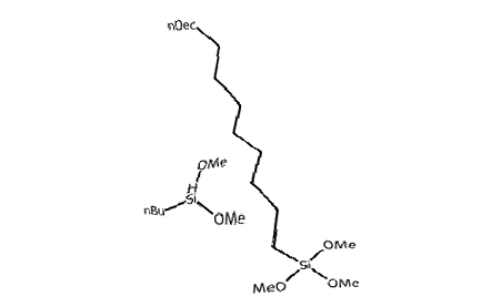 CCCCCCCCCCCCCCCCCC[Si](OC)(OC)OC.CCCC[SiH](OC)OC